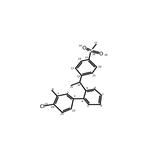 Cc1cc(-c2ccccc2C(C)c2ccc(S(C)(=O)=O)cc2)ccc1Cl